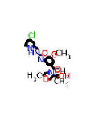 COc1cc(C(=O)N2CC(C)OCC2C(C)(C)O)cc2nc(NCc3cc(Cl)ccn3)oc12